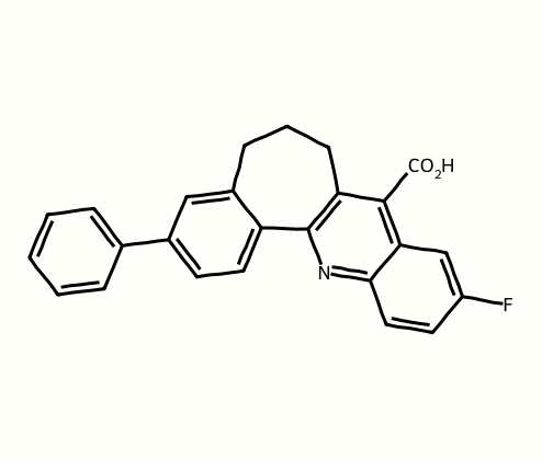 O=C(O)c1c2c(nc3ccc(F)cc13)-c1ccc(-c3ccccc3)cc1CCC2